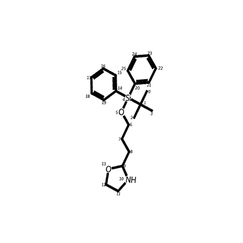 CC(C)(C)[Si](OCCCC1NCCO1)(c1ccccc1)c1ccccc1